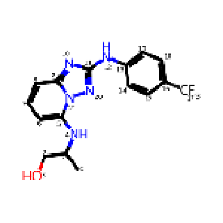 CC(CO)Nc1cccc2nc(Nc3ccc(C(F)(F)F)cc3)nn12